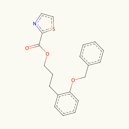 O=C(OCCCc1ccccc1OCc1ccccc1)c1nccs1